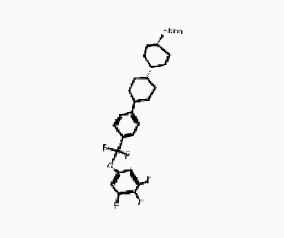 CCCCCCCCC[C@H]1CC[C@H](C2CCC(c3ccc(C(F)(F)Oc4cc(F)c(F)c(F)c4)cc3)CC2)CC1